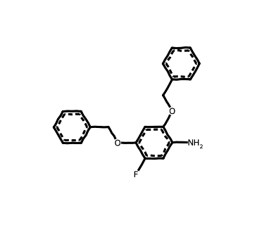 Nc1cc(F)c(OCc2ccccc2)cc1OCc1ccccc1